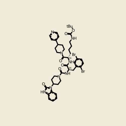 CC(C)(C)OC(=O)NCCCC[C@H](NC(=O)[C@@H](Cc1cc(Br)ccc1Br)NC(=O)N1CCC(n2c(=O)[nH]c3ccccc32)CC1)C(=O)N1CCC(c2ccncc2)CC1